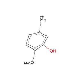 COc1ccc(C(F)(F)F)cc1O